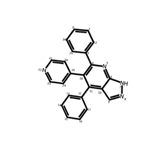 c1ccc(-c2nc3[nH]ncc3c(-c3ccccc3)c2-c2ccncc2)cc1